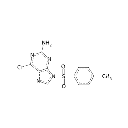 Cc1ccc(S(=O)(=O)n2cnc3c(Cl)nc(N)nc32)cc1